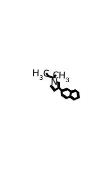 CCC(C)n1ccc(-c2ccc3ccccc3c2)c1